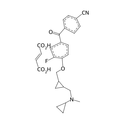 CN(CC1CC1COc1ccc(C(=O)c2ccc(C#N)cc2)cc1F)C1CC1.O=C(O)C=CC(=O)O